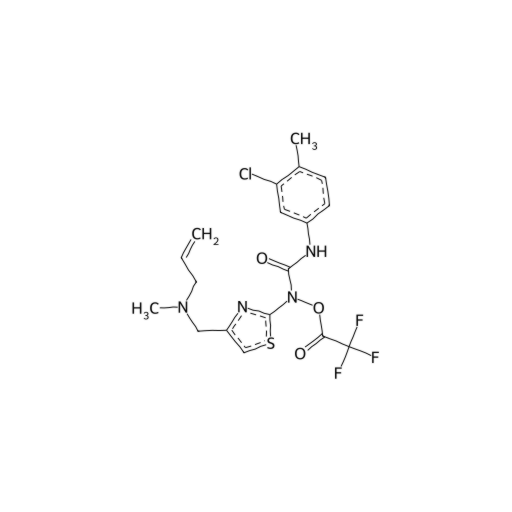 C=CCN(C)Cc1csc(N(OC(=O)C(F)(F)F)C(=O)Nc2ccc(C)c(Cl)c2)n1